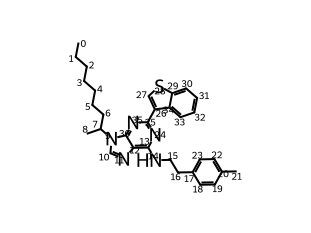 CCCCCCCC(C)n1cnc2c(NCCc3ccc(C)cc3)nc(-c3csc4ccccc34)nc21